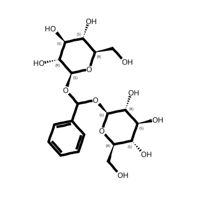 OC[C@H]1O[C@@H](OC(O[C@@H]2O[C@H](CO)[C@@H](O)[C@H](O)[C@H]2O)c2ccccc2)[C@H](O)[C@@H](O)[C@@H]1O